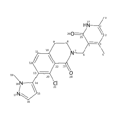 Cc1cc(C)c(CN2CCc3ccc(-c4ccnn4C)c(Cl)c3C2=O)c(=O)[nH]1